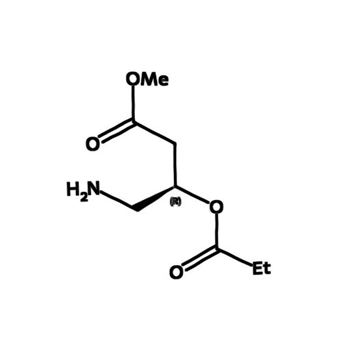 CCC(=O)O[C@@H](CN)CC(=O)OC